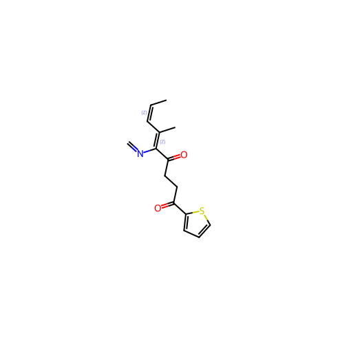 C=N/C(C(=O)CCC(=O)c1cccs1)=C(C)\C=C/C